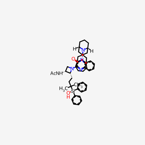 CC(=O)N[C@@H]1CN(c2nc3ccccc3n([C@H]3C[C@H]4CCC[C@@H](C3)N4C3CC4CCCCC(C4)C3)c2=O)[C@@H]1CCC(C)(C)[Si](O)(c1ccccc1)c1ccccc1